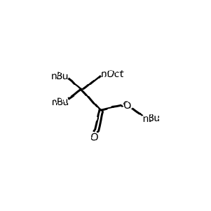 CCCCCCCCC(CCCC)(CCCC)C(=O)OCCCC